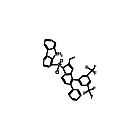 CCC1=Cc2c(ccc(-c3ccccc3)c2-c2cc(C(F)(F)F)cc(C(F)(F)F)c2)[CH]1[Zr]([Cl])([Cl])[c]1cccc2c1[SiH2]c1ccccc1-2